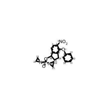 O=[N+]([O-])c1ccc2c(c1Oc1ccccc1)CCC2OP(=O)(N1CC1)N1CC1